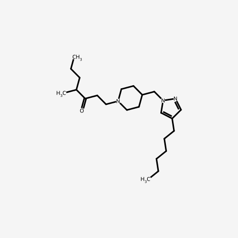 CCCCCCc1cnn(CC2CCN(CCC(=O)C(C)CCC)CC2)c1